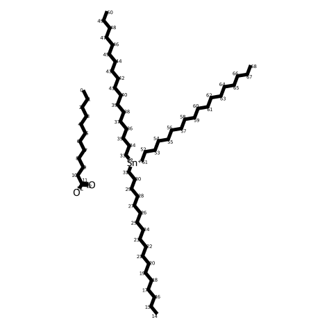 CCCCCCCCCCCC(=O)[O-].CCCCCCCCCCCCCCCCC[CH2][Sn+]([CH2]CCCCCCCCCCCCCCCCC)[CH2]CCCCCCCCCCCCCCCCC